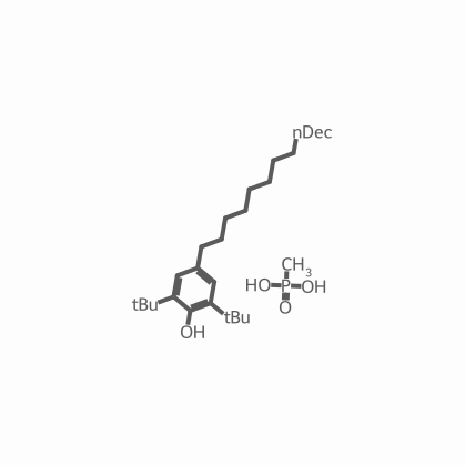 CCCCCCCCCCCCCCCCCCc1cc(C(C)(C)C)c(O)c(C(C)(C)C)c1.CP(=O)(O)O